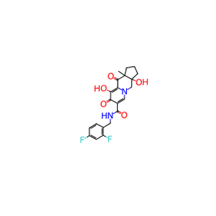 CC12CCCC1(O)Cn1cc(C(=O)NCc3ccc(F)cc3F)c(=O)c(O)c1C2=O